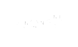 CN(C[C@H](CN)OC=O)c1ccc(N2CCOCC2=O)cc1